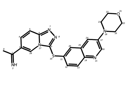 CC(=N)c1ccc2nnc(Sc3ccc4ncc(N5CCOCC5)cc4c3)n2c1